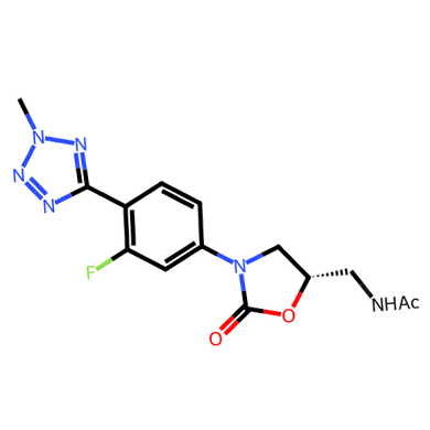 CC(=O)NC[C@H]1CN(c2ccc(-c3nnn(C)n3)c(F)c2)C(=O)O1